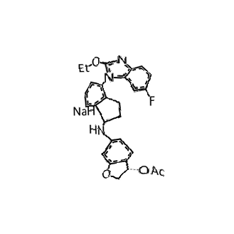 CCOc1nc2ccc(F)cc2n1-c1cccc2c1CCC2Nc1ccc2c(c1)OC[C@H]2OC(C)=O.[NaH]